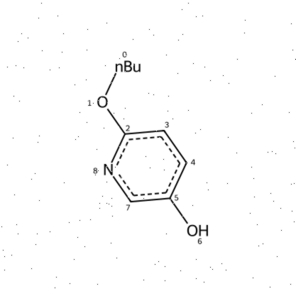 CCCCOc1ccc(O)cn1